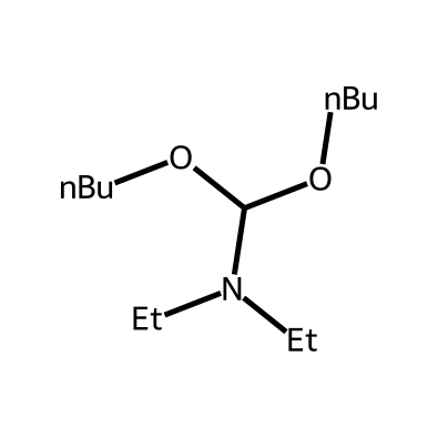 CCCCOC(OCCCC)N(CC)CC